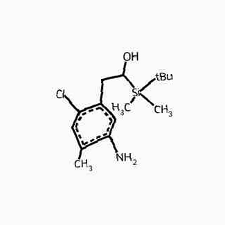 Cc1cc(Cl)c(CC(O)[Si](C)(C)C(C)(C)C)cc1N